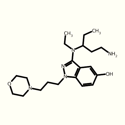 CCC(CCN)N(CC)c1nn(CCCN2CCOCC2)c2ccc(O)cc12